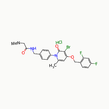 CNCC(=O)NCc1ccc(-n2c(C)cc(OCc3ccc(F)cc3F)c(Br)c2=O)cc1.Cl